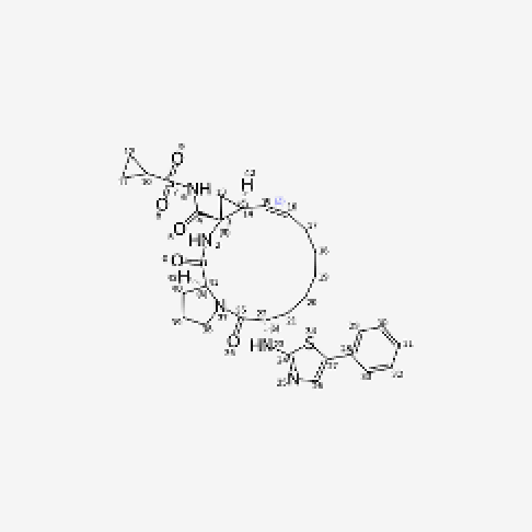 O=C1N[C@]2(C(=O)NS(=O)(=O)C3CC3)C[C@H]2/C=C\CCCCC[C@H](Nc2ncc(-c3ccccc3)s2)C(=O)N2CCC[C@@H]12